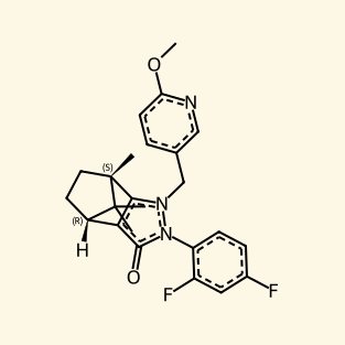 COc1ccc(Cn2c3c(c(=O)n2-c2ccc(F)cc2F)[C@@H]2CC[C@@]3(C)C2(C)C)cn1